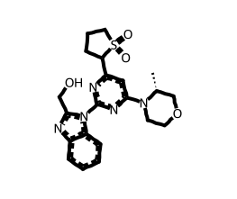 C[C@@H]1COCCN1c1cc(C2CCCS2(=O)=O)nc(-n2c(CO)nc3ccccc32)n1